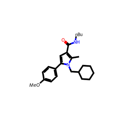 CCCCNC(=O)c1cc(-c2ccc(OC)cc2)n(CC2CCCCC2)c1C